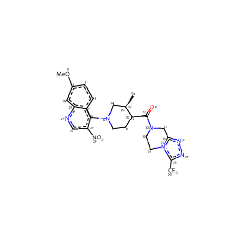 COc1ccc2c(N3CC[C@H](C(=O)N4CCn5c(nnc5C(F)(F)F)C4)[C@H](C)C3)c([N+](=O)[O-])cnc2c1